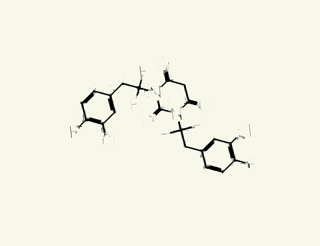 O=C1CC(=O)N(C(F)(F)Cc2ccc(F)c(Cl)c2)C(=O)N1C(F)(F)Cc1ccc(F)c(Cl)c1